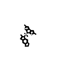 CC1=Cc2cc3c(cc2C1[Si](C)(C)C1c2sc(C)cc2-c2cc(C)sc21)CCC3